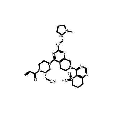 C=CC(=O)N1CCN(c2nc(OC[C@@H]3CCCN3C)nc3c2CCN(c2ncnc4c2S(=N)(=O)CCC4)C3)C[C@@H]1CC#N